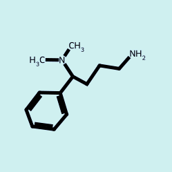 CN(C)C(CCCN)c1ccccc1